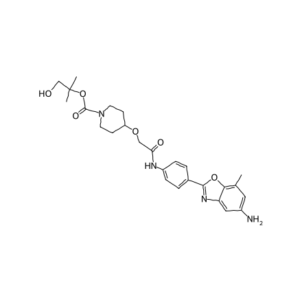 Cc1cc(N)cc2nc(-c3ccc(NC(=O)COC4CCN(C(=O)OC(C)(C)CO)CC4)cc3)oc12